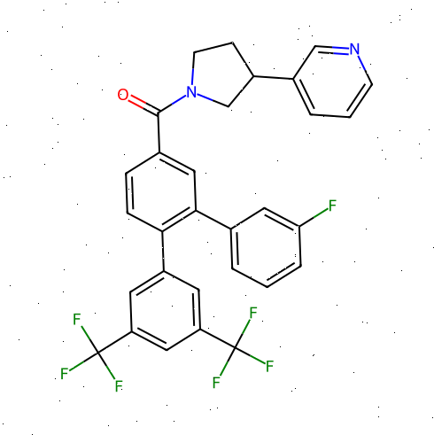 O=C(c1ccc(-c2cc(C(F)(F)F)cc(C(F)(F)F)c2)c(-c2cccc(F)c2)c1)N1CCC(c2cccnc2)C1